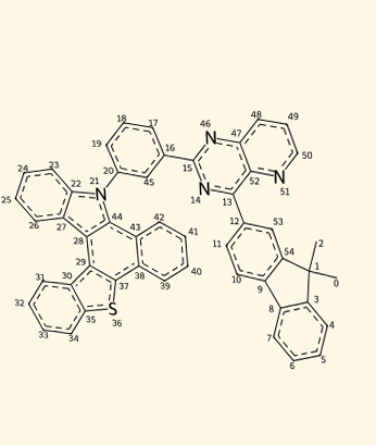 CC1(C)c2ccccc2-c2ccc(-c3nc(-c4cccc(-n5c6ccccc6c6c7c8ccccc8sc7c7ccccc7c65)c4)nc4cccnc34)cc21